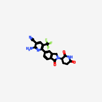 N#Cc1cc(C(F)(F)F)c(-c2ccc3c(c2)CN(C2CCC(=O)NC2=O)C3=O)nc1N